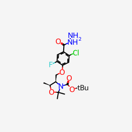 C[C@@H]1OC(C)(C)N(C(=O)OC(C)(C)C)[C@@H]1COc1cc(Cl)c(C(=O)NN)cc1F